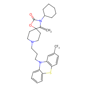 C=C1N(C2CCCCC2)C(=O)OC12CCN(CCCN1c3ccccc3Sc3ccc(C(F)(F)F)cc31)CC2